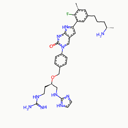 Cc1cc(CCC[C@H](C)N)cc(-c2cc3cn(-c4ccc(CO[C@H](CCNC(=N)N)CNc5ncc[nH]5)cc4)c(=O)nc3[nH]2)c1F